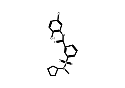 CN(C1CCCC1)S(=O)(=O)c1cccc(C(=O)Nc2cc(Cl)ccc2O)c1